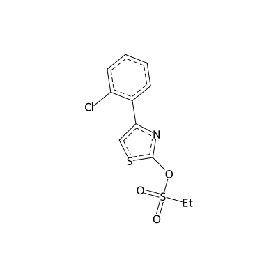 CCS(=O)(=O)Oc1nc(-c2ccccc2Cl)cs1